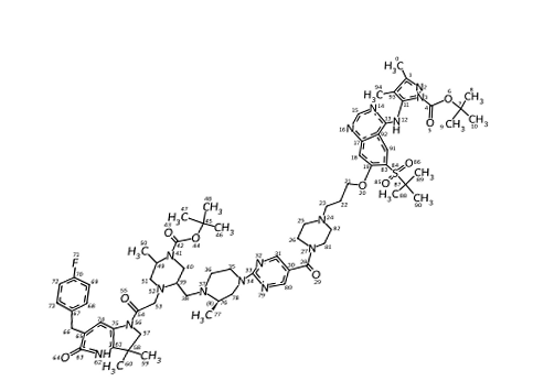 Cc1nn(C(=O)OC(C)(C)C)c(Nc2ncnc3cc(OCCCN4CCN(C(=O)c5cnc(N6CCN(CC7CN(C(=O)OC(C)(C)C)C(C)CN7CC(=O)N7CC(C)(C)c8[nH]c(=O)c(Cc9ccc(F)cc9)cc87)[C@H](C)C6)nc5)CC4)c(S(=O)(=O)C(C)(C)C)cc23)c1C